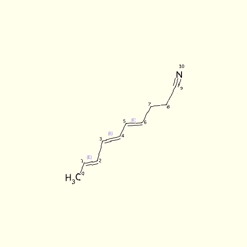 C/C=C/C=C/C=C/CCC#N